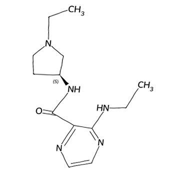 CCNc1nccnc1C(=O)N[C@H]1CCN(CC)C1